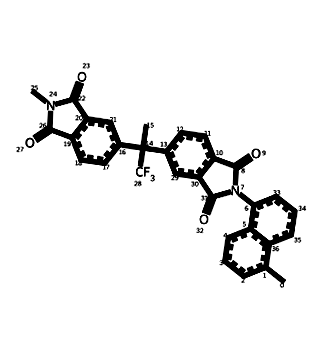 Cc1cccc2c(N3C(=O)c4ccc(C(C)(c5ccc6c(c5)C(=O)N(C)C6=O)C(F)(F)F)cc4C3=O)cccc12